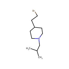 C[C](C)CN1CCC(CCBr)CC1